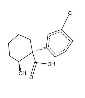 O=C(O)[C@]1(c2cccc(Cl)c2)CCCC[C@@H]1O